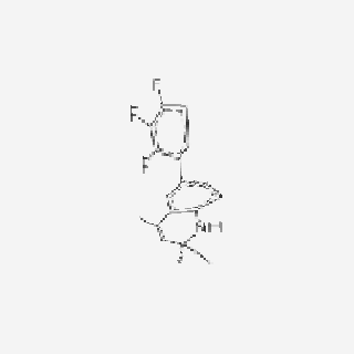 CC1=CC(C)(C)Nc2ccc(-c3ccc(F)c(F)c3F)cc21